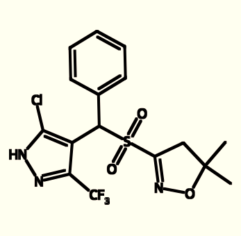 CC1(C)CC(S(=O)(=O)C(c2ccccc2)c2c(C(F)(F)F)n[nH]c2Cl)=NO1